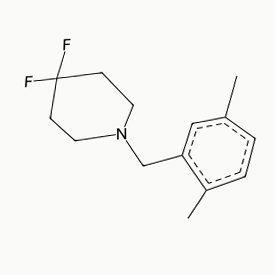 Cc1ccc(C)c(CN2CCC(F)(F)CC2)c1